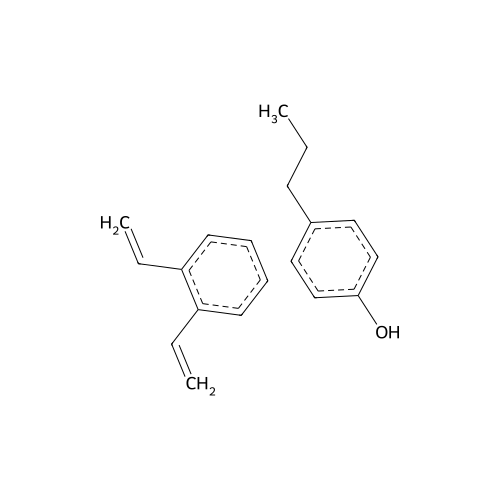 C=Cc1ccccc1C=C.CCCc1ccc(O)cc1